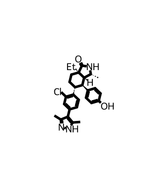 CC[C@@]12CC[C@@H](c3ccc(-c4c(C)n[nH]c4C)cc3Cl)[C@H](c3ccc(O)cc3)[C@@H]1[C@@H](C)NC2=O